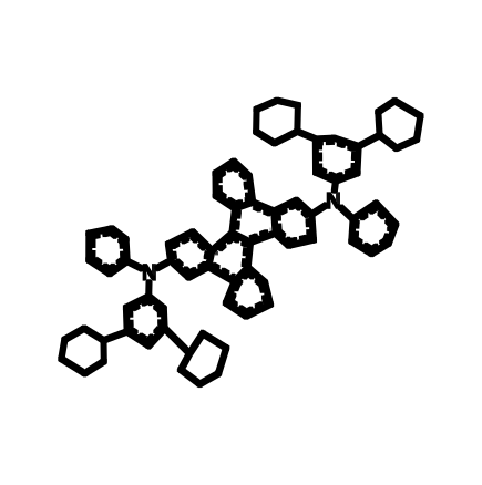 c1ccc(N(c2cc(C3CCCCC3)cc(C3CCCCC3)c2)c2ccc3c(c2)c2ccccc2c2c4ccc(N(c5ccccc5)c5cc(C6CCCCC6)cc(C6CCCCC6)c5)cc4c4ccccc4c32)cc1